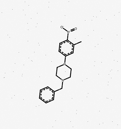 Cc1cc(N2CCN(Cc3ccccc3)CC2)ccc1[N+](=O)[O-]